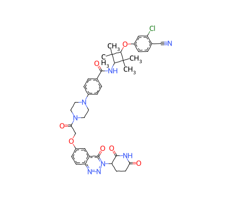 CC1(C)C(NC(=O)c2ccc(N3CCN(C(=O)COc4ccc5nnn(C6CCC(=O)NC6=O)c(=O)c5c4)CC3)cc2)C(C)(C)C1Oc1ccc(C#N)c(Cl)c1